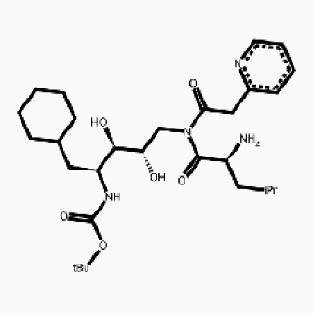 CC(C)C[C@H](N)C(=O)N(C[C@H](O)[C@H](O)[C@H](CC1CCCCC1)NC(=O)OC(C)(C)C)C(=O)Cc1ccccn1